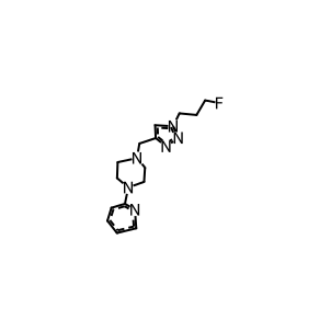 FCCCn1cc(CN2CCN(c3ccccn3)CC2)nn1